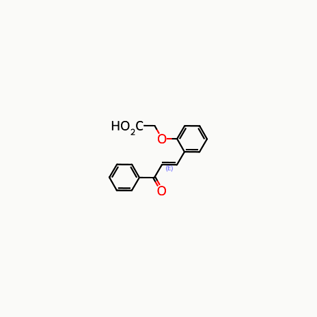 O=C(O)COc1ccccc1/C=C/C(=O)c1ccccc1